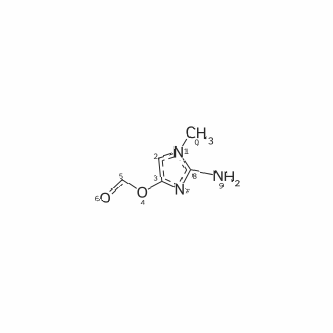 Cn1cc(OC=O)nc1N